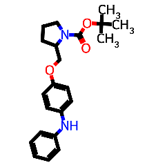 CC(C)(C)OC(=O)N1CCCC1COc1ccc(Nc2ccccc2)cc1